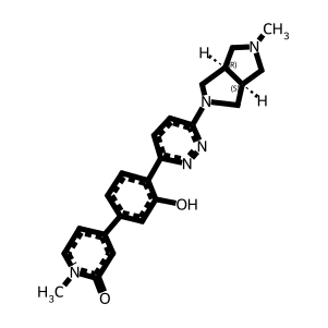 CN1C[C@@H]2CN(c3ccc(-c4ccc(-c5ccn(C)c(=O)c5)cc4O)nn3)C[C@@H]2C1